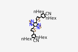 CCCCCCc1cc(-c2ccc(-c3c4c(c(-c5ccc(-c6cc(CCCCCC)c(C#N)c(CCCCCC)c6)s5)c5nsnc35)N=S=N4)s2)cc(CCCCCC)c1C#N